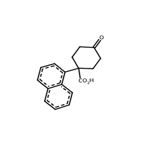 O=C1CCC(C(=O)O)(c2cccc3ccccc23)CC1